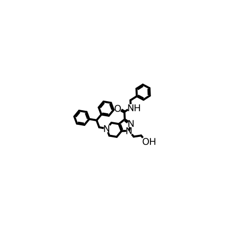 O=C(NCc1ccccc1)c1nn(CCO)c2c1CN(CC(c1ccccc1)c1ccccc1)CC2